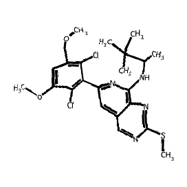 COc1cc(OC)c(Cl)c(-c2cc3cnc(SC)nc3c(NC(C)C(C)(C)C)n2)c1Cl